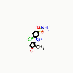 CC1=C(Nc2cc(S(N)(=O)=O)ccc2Cl)CCC1=O